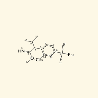 COC(=N)C(c1ccc(C(F)(F)F)cc1Cl)C(C)C